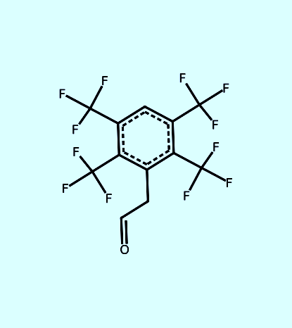 O=CCc1c(C(F)(F)F)c(C(F)(F)F)cc(C(F)(F)F)c1C(F)(F)F